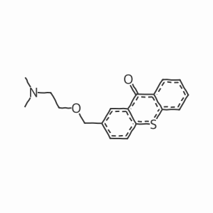 CN(C)CCOCc1ccc2sc3ccccc3c(=O)c2c1